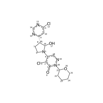 O=c1c(Cl)c(N2CC[C@H](c3cc(Cl)ncn3)C2O)cnn1C1CCCCO1